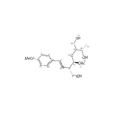 COc1ccc(/C=N/[C@@H](CO)[C@H](OC(C)=O)OC(CO)[C@H](C)O)cc1